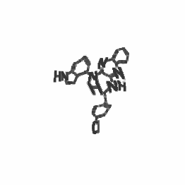 Clc1ccc(CNc2nc3ccccc3nc2Nc2cccc3[nH]ccc23)cc1